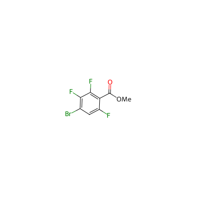 COC(=O)c1c(F)cc(Br)c(F)c1F